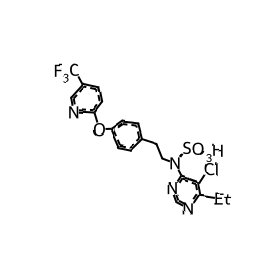 CCc1ncnc(N(CCc2ccc(Oc3ccc(C(F)(F)F)cn3)cc2)S(=O)(=O)O)c1Cl